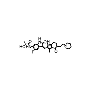 Cc1c(/C=C2\C(=O)Nc3cc(NC(=O)[C@H](C)O)c(F)cc32)[nH]c2c1C(=O)N(CCN1CCCCC1)CC2